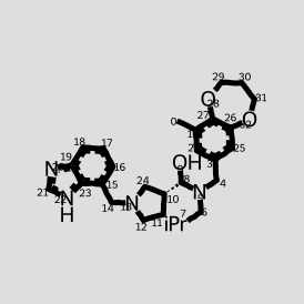 Cc1cc(CN(CC(C)C)C(O)[C@@H]2CCN(Cc3cccc4nc[nH]c34)C2)cc2c1OCCCO2